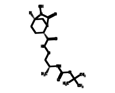 C[C@H](CONC(=O)[C@@H]1CC[C@@H]2CN1C(=O)N2O)NC(=O)OC(C)(C)C